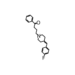 O=C(CCCN1CCC(=Cc2ccc(F)cc2)CC1)c1ccccc1